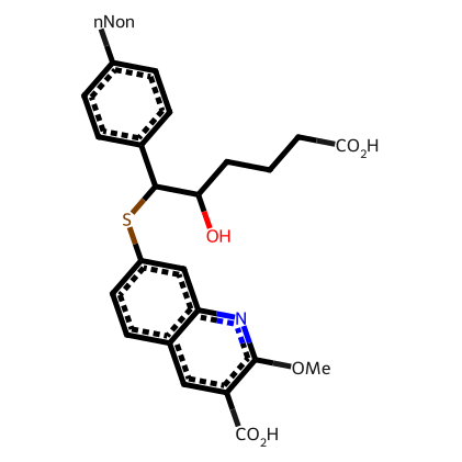 CCCCCCCCCc1ccc(C(Sc2ccc3cc(C(=O)O)c(OC)nc3c2)C(O)CCCC(=O)O)cc1